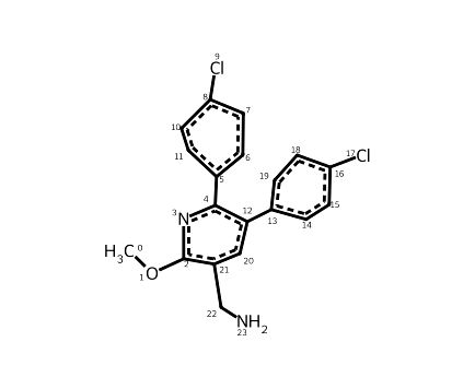 COc1nc(-c2ccc(Cl)cc2)c(-c2ccc(Cl)cc2)cc1CN